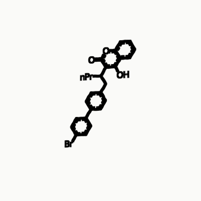 CCCC(Cc1ccc(-c2ccc(Br)cc2)cc1)c1c(O)c2ccccc2oc1=O